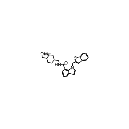 COCC1CCC(CNC(=O)c2cccc3ccn(Cc4cc5ccccc5s4)c23)CC1